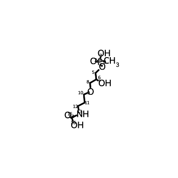 CP(=O)(O)OCC(O)COCCCNC(=O)O